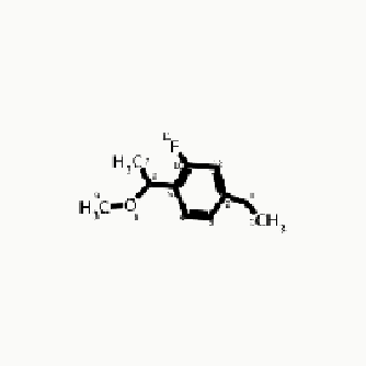 CCc1ccc(C(C)OC)c(F)c1